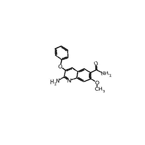 COc1cc2nc(N)c(Oc3ccccc3)cc2cc1C(N)=O